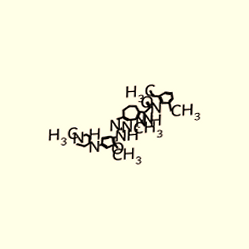 CCc1cccc(CC)c1NC(=O)c1nn(C)c2c1CCCc1cnc(Nc3ccc(NC4CCN(C)CC4)cc3OC)nc1-2